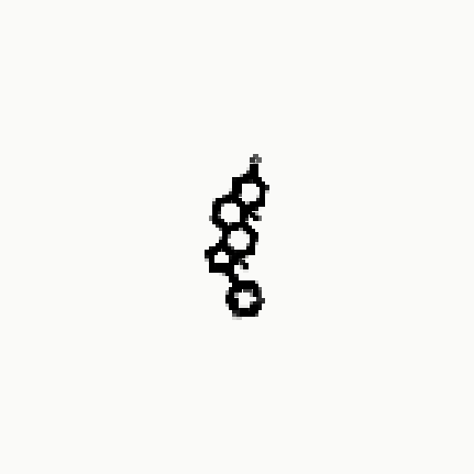 C[C@]12CCC(=O)C=C1CCC1C2CC[C@]2(C)C(c3cncnc3)=CCC12